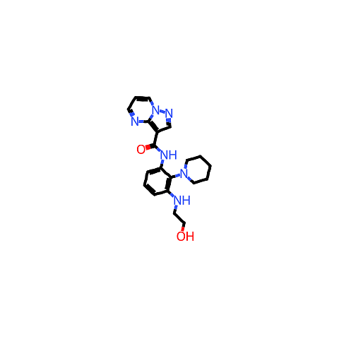 O=C(Nc1cccc(NCCO)c1N1CCCCC1)c1cnn2cccnc12